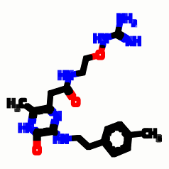 Cc1ccc(CCNc2nc(CC(=O)NCCONC(=N)N)c(C)[nH]c2=O)cc1